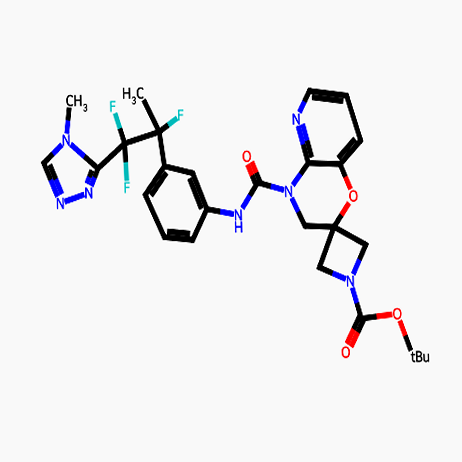 Cn1cnnc1C(F)(F)C(C)(F)c1cccc(NC(=O)N2CC3(CN(C(=O)OC(C)(C)C)C3)Oc3cccnc32)c1